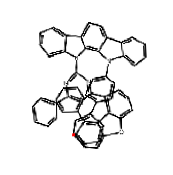 c1ccc(-c2ccc(-n3c4ccccc4c4ccc5c6ccccc6n(-c6nc(-c7ccccc7)nc(-c7cccc8oc9cccc(-c%10ccccc%10)c9c78)n6)c5c43)cc2)cc1